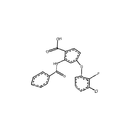 O=C(Nc1cc(Oc2cccc(Cl)c2F)ccc1C(=O)O)c1ccccc1